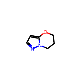 c1cc2n(n1)CCCO2